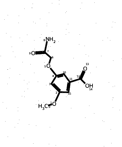 COc1cc(OCC(N)=O)cc(C(=O)O)c1